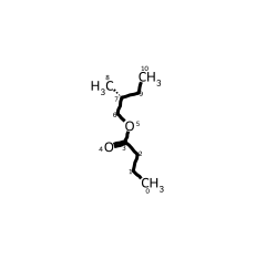 CCCC(=O)OC[C@H](C)CC